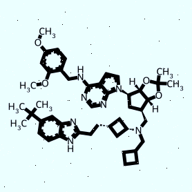 COc1ccc(CNc2ncnc3c2ccn3[C@@H]2C[C@H](CN(CC3CCC3)[C@H]3C[C@@H](CCc4nc5cc(C(C)(C)C)ccc5[nH]4)C3)[C@H]3OC(C)(C)O[C@H]32)c(OC)c1